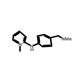 CNCc1ccc(Nc2cccc[n+]2C)cc1